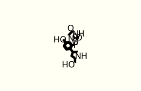 O=C1CN(c2c(O)ccc(C3CNC(CO)C3)c2F)S(=O)(=O)N1